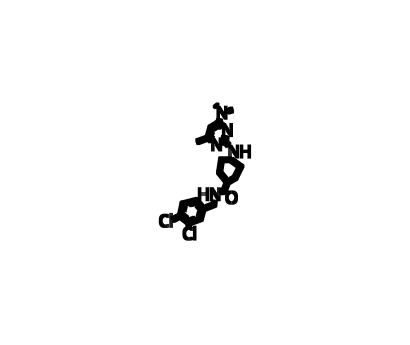 Cc1cc(N(C)C)nc(NC2CCC(C(=O)NCc3ccc(Cl)c(Cl)c3)CC2)n1